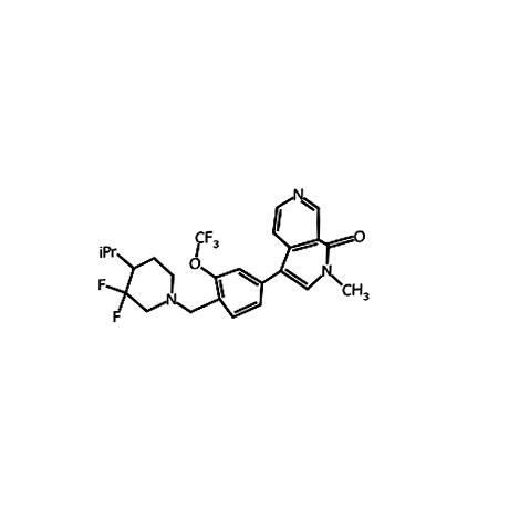 CC(C)C1CCN(Cc2ccc(-c3cn(C)c(=O)c4cnccc34)cc2OC(F)(F)F)CC1(F)F